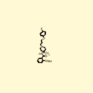 COc1ccccc1C(=O)NC1(C)CCN(CCCOc2ccc(F)cc2)CC1